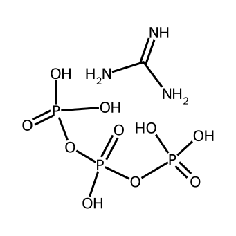 N=C(N)N.O=P(O)(O)OP(=O)(O)OP(=O)(O)O